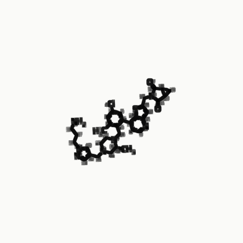 Cc1cc(Cl)cc(-c2ccnc3cc(CN4C(=O)C5CC5C4=O)sc23)c1CN1CCN(Cc2cnn(CCCN)c2)C[C@@H]1C